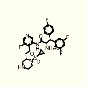 CC(=O)N[C@H](C(=O)Nc1cncc(F)c1CC[C@H]1CNCCN1S(=O)(=O)C1CC1)[C@@H](c1ccc(F)cc1)c1cc(F)cc(F)c1